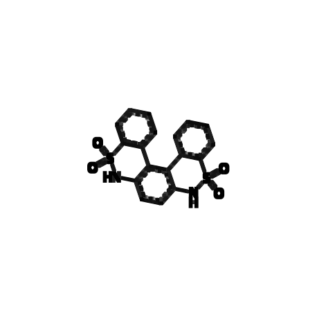 O=S1(=O)Nc2ccc3c(c2-c2ccccc21)-c1ccccc1S(=O)(=O)N3